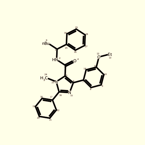 CCCCC(NC(=O)c1c(-c2cccc(OCC)c2)nc(-c2ccccc2)n1C)c1ccccc1